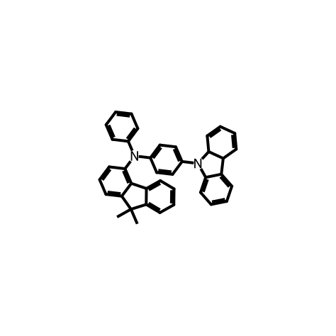 CC1(C)c2ccccc2-c2c(N(c3ccccc3)c3ccc(N4c5ccccc5C5C=CC=CC54)cc3)cccc21